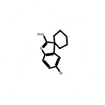 CSC1=Nc2ccc(Br)cc2C12CCCCC2